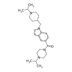 CC(C)N1CCC(Cn2ccc3cc(C(=O)N4CCN(C(C)C)CC4)ccc32)CC1